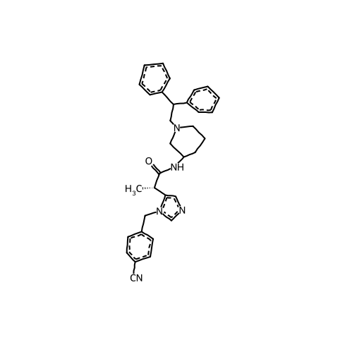 C[C@H](C(=O)NC1CCCN(CC(c2ccccc2)c2ccccc2)C1)c1cncn1Cc1ccc(C#N)cc1